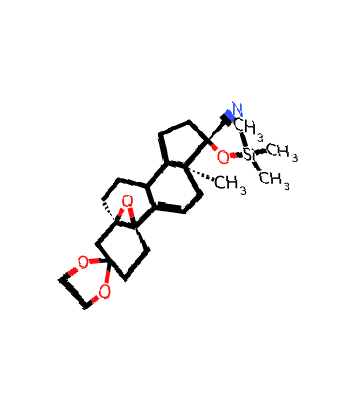 C[C@]12CC=C3C(CC[C@@]45CC6(CC[C@@]34O5)OCCO6)C1CC[C@]2(C#N)O[Si](C)(C)C